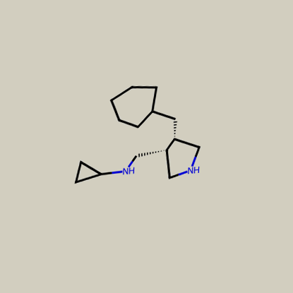 C1CCC(C[C@@H]2CNC[C@@H]2CNC2CC2)CC1